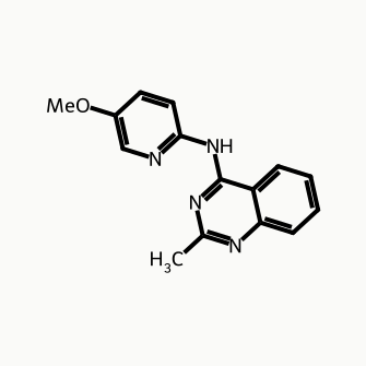 COc1ccc(Nc2nc(C)nc3ccccc23)nc1